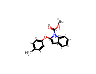 Cc1ccc(Oc2[c]c3ccccc3n2C(=O)OC(C)(C)C)cc1